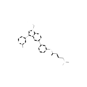 CC(=O)OCn1cc(-c2ccnc(F)c2)c2cc(-c3cccc(NC(=O)C=CCN(C)C)c3)cnc21